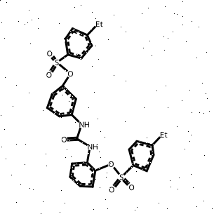 CCc1ccc(S(=O)(=O)Oc2cccc(NC(=O)Nc3ccccc3OS(=O)(=O)c3ccc(CC)cc3)c2)cc1